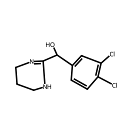 OC(C1=NCCCN1)c1ccc(Cl)c(Cl)c1